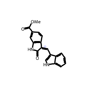 COC(=O)c1ccc2c(c1)NC(=O)/C2=C\c1c[nH]c2ccccc12